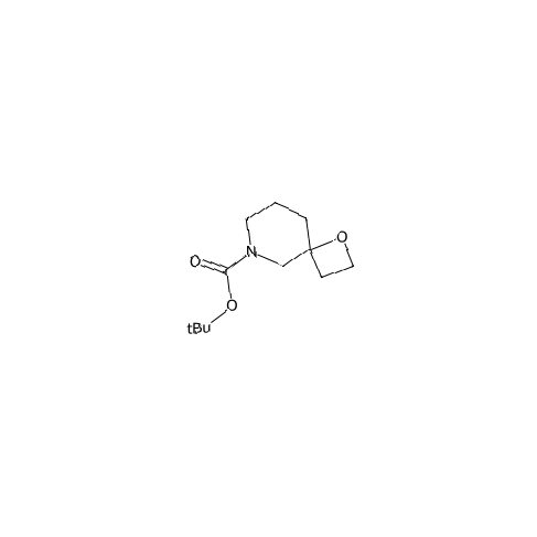 CC(C)(C)OC(=O)N1CCCC2(CCO2)C1